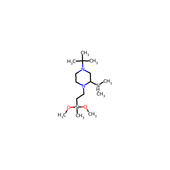 CO[Si](C)(CCN1CCN(C(C)(C)C)CC1[SiH](C)C)OC